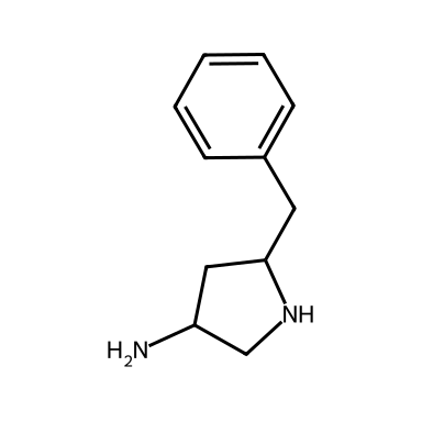 NC1CNC(Cc2ccccc2)C1